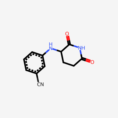 N#Cc1cccc(NC2CCC(=O)NC2=O)c1